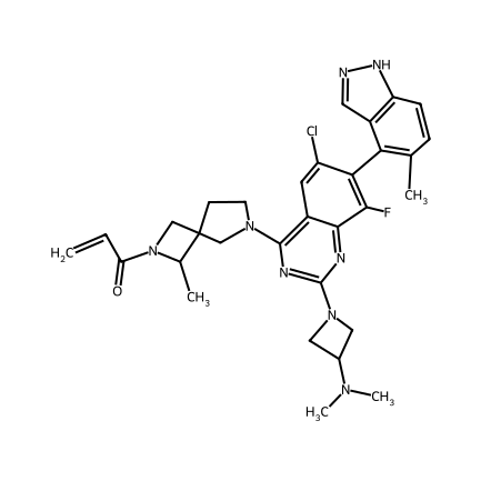 C=CC(=O)N1CC2(CCN(c3nc(N4CC(N(C)C)C4)nc4c(F)c(-c5c(C)ccc6[nH]ncc56)c(Cl)cc34)C2)C1C